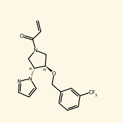 C=CC(=O)N1C[C@@H](n2cccn2)[C@H](OCc2cccc(C(F)(F)F)c2)C1